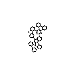 c1ccc(-c2nc(-c3ccccc3-c3ccccc3)nc(-c3cccc4oc5ccc(-c6ccc7c(c6)C6(c8ccccc8-c8ccccc86)c6ccccc6-7)cc5c34)n2)cc1